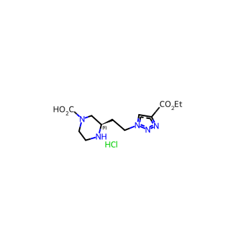 CCOC(=O)c1cn(CC[C@@H]2CN(C(=O)O)CCN2)nn1.Cl